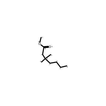 CCCCC(C)(C)CC(=O)OC